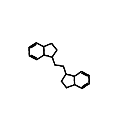 C1=CC2CCC(CCC3CCC4C=CC=CC43)C2C=C1